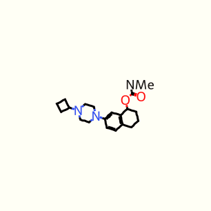 CNC(=O)OC1CCCc2ccc(N3CCN(C4CCC4)CC3)cc21